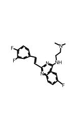 CN(C)CCNc1nc(/C=C/c2ccc(F)c(F)c2)nc2ccc(F)cc12